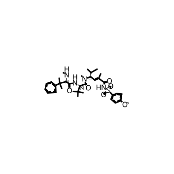 CN[C@H](C(=O)N[C@H](C(=O)N(C)[C@H](C=C(C)C(=O)NS(=O)(=O)c1ccc(OC)cc1)C(C)C)C(C)(C)C)C(C)(C)c1ccccc1